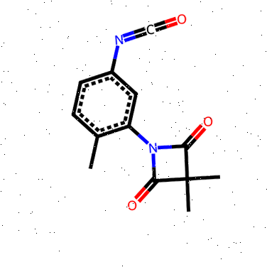 Cc1ccc(N=C=O)cc1N1C(=O)C(C)(C)C1=O